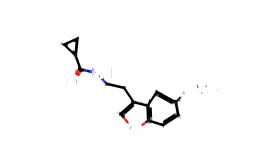 COc1ccc2occ(CCNC(=O)C3CC3)c2c1